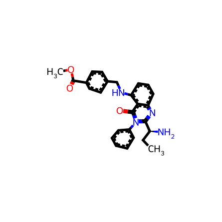 CC[C@H](N)c1nc2cccc(NCc3ccc(C(=O)OC)cc3)c2c(=O)n1-c1ccccc1